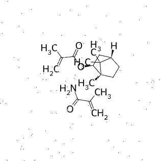 C=C(C)C(=O)O[C@H]1C[C@@H]2CC[C@@]1(C)C2(C)C.C=C(C)C(N)=O